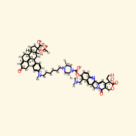 CC[C@@]1(O)C(=O)OCc2c1cc1n(c2=O)Cc2cc3c(CN(C)C)c(OC(=O)N4C[C@H](C)N(CCCCCCN(C)c5ccc(C6CC7(C)[C@@H](CCC7(OC(C)=O)C(C)=O)C7CCC8=CC(=O)CCC8=C67)cc5)C[C@H]4C)ccc3nc2-1